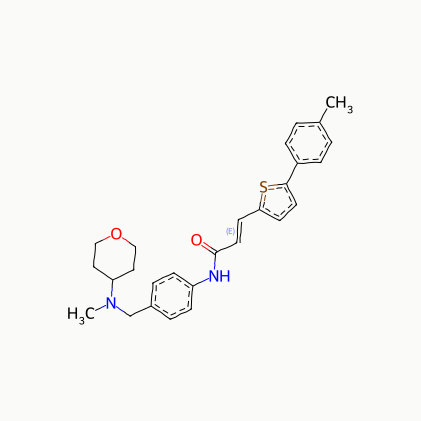 Cc1ccc(-c2ccc(/C=C/C(=O)Nc3ccc(CN(C)C4CCOCC4)cc3)s2)cc1